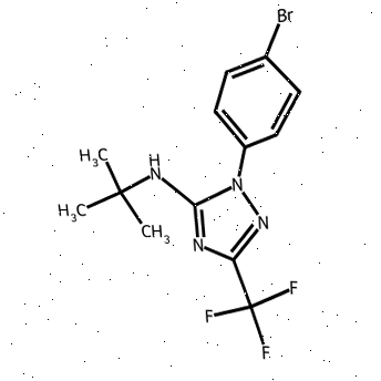 CC(C)(C)Nc1nc(C(F)(F)F)nn1-c1ccc(Br)cc1